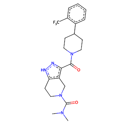 CN(C)C(=O)N1CCc2[nH]nc(C(=O)N3CCC(c4ccccc4C(F)(F)F)CC3)c2C1